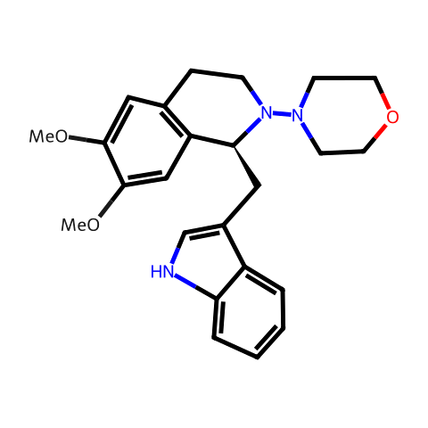 COc1cc2c(cc1OC)[C@H](Cc1c[nH]c3ccccc13)N(N1CCOCC1)CC2